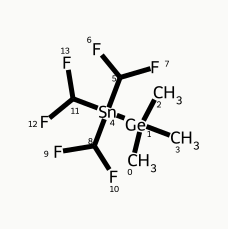 [CH3][Ge]([CH3])([CH3])[Sn]([CH](F)F)([CH](F)F)[CH](F)F